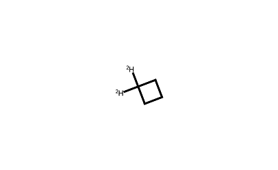 [2H]C1([2H])CCC1